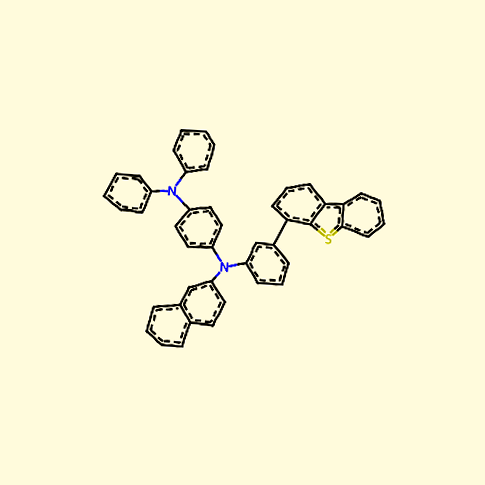 c1ccc(N(c2ccccc2)c2ccc(N(c3cccc(-c4cccc5c4sc4ccccc45)c3)c3ccc4ccccc4c3)cc2)cc1